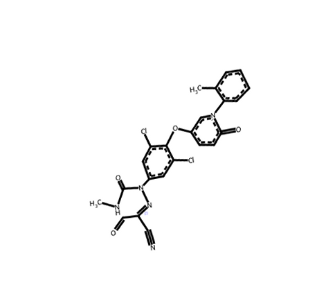 CNC(=O)N(/N=C(/C#N)C=O)c1cc(Cl)c(Oc2ccc(=O)n(-c3ccccc3C)c2)c(Cl)c1